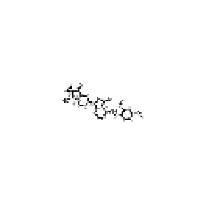 COc1ccc(CNc2nccn3c(C4CC[C@H]5[C@@H](O)C6(CC6)C(=O)N5C4)nc(Br)c23)c(OC)c1